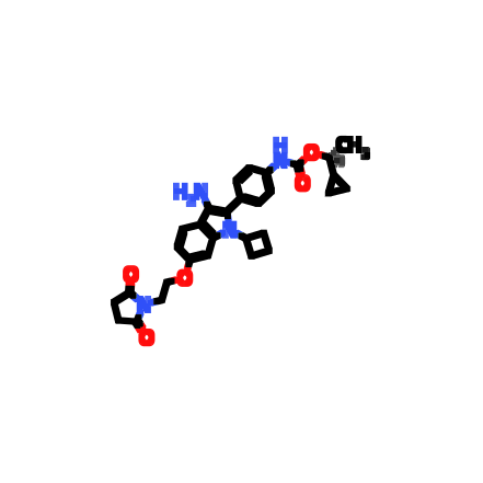 C[C@@H](OC(=O)Nc1ccc(-c2c(N)c3ccc(OCCN4C(=O)CCC4=O)cc3n2C2CCC2)cc1)C1CC1